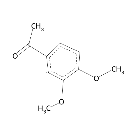 COc1[c]c(C(C)=O)ccc1OC